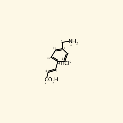 Cl.NCc1ccc(C=CC(=O)O)cc1